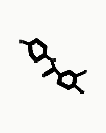 O=C(Nc1ccc(Br)cn1)c1ccc(Br)c(F)c1